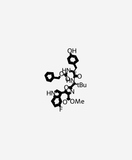 COC(=O)c1nc([C@@H](NC(=O)[C@H](Cc2ccc(O)cc2)NC(=O)OCc2ccccc2)C(C)(C)C)oc1-c1c[nH]c2ccc(F)cc12